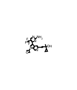 CC(O)(C#Cc1cc2c(-c3nc(N)ncc3C(F)(F)F)cn(C3COC3)c2cn1)C1CC1